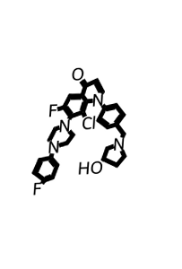 O=c1ccn(-c2ccc(CN3CC[C@@H](O)C3)cc2)c2c(Cl)c(N3CCN(c4ccc(F)cc4)CC3)c(F)cc12